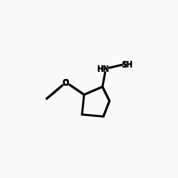 COC1CCCC1NS